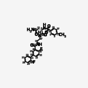 Cc1ccc(S(=O)(=O)N[C@@H](CC(N)=O)C(=O)NCCNC(=O)c2cc(-c3ccccc3F)ccc2F)cc1